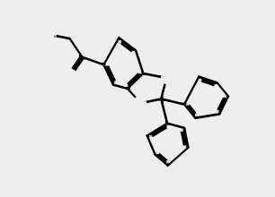 O=C(CCl)c1ccc2c(c1)OC(c1ccccc1)(c1ccccc1)O2